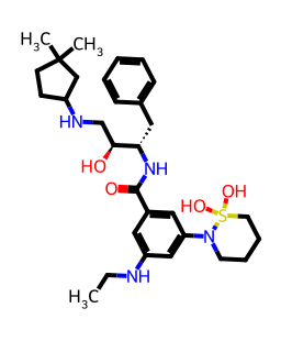 CCNc1cc(C(=O)N[C@@H](Cc2ccccc2)[C@@H](O)CNC2CCC(C)(C)C2)cc(N2CCCCS2(O)O)c1